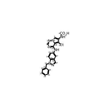 CCc1c(NC(=O)O)cn2ncnc(Nc3ccc4c(cnn4Cc4ccccc4)c3)c12